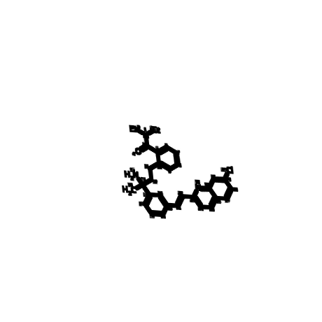 CCN(CC)C(=O)c1ccccc1CCC(C)(N)c1cccc(/C=C/c2ccc3ccc(Cl)cc3n2)c1